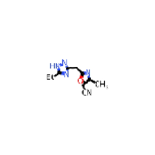 CCc1nc(Cc2nc(C)c(C#N)o2)n[nH]1